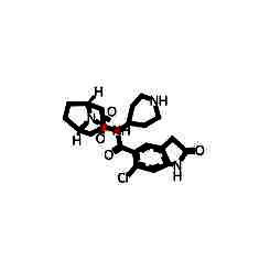 O=C1Cc2cc(C(=O)NC3C[C@H]4CC[C@@H](C3)N4S(=O)(=O)CC3CCNCC3)c(Cl)cc2N1